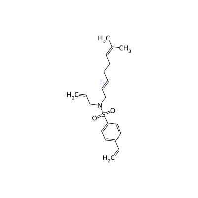 C=CCN(C/C=C/CCC=C(C)C)S(=O)(=O)c1ccc(C=C)cc1